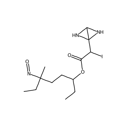 CCC(CCC(C)(CC)N=O)OC(=O)C(I)C12NC1N2